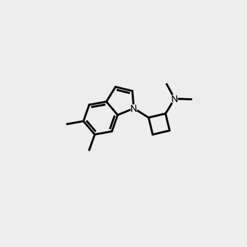 Cc1cc2ccn(C3CCC3N(C)C)c2cc1C